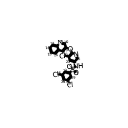 O=S(=O)(Nc1cnc(Oc2cnc3ccccc3c2)c(Cl)c1)c1cc(Cl)cc(Cl)c1